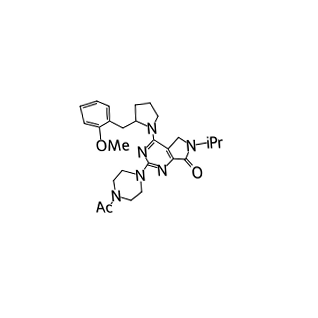 COc1ccccc1CC1CCCN1c1nc(N2CCN(C(C)=O)CC2)nc2c1CN(C(C)C)C2=O